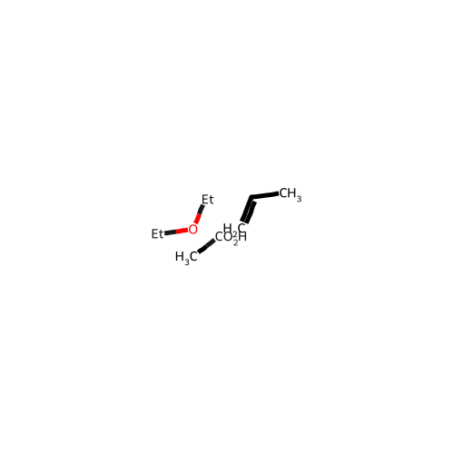 C=CC.CC(=O)O.CCOCC